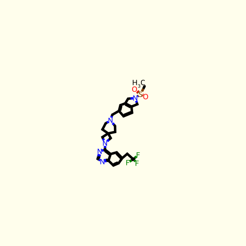 CCS(=O)(=O)N1Cc2ccc(CN3CCC4(CC3)CN(c3ncnc5ccc(CC(F)(F)F)cc35)C4)cc2C1